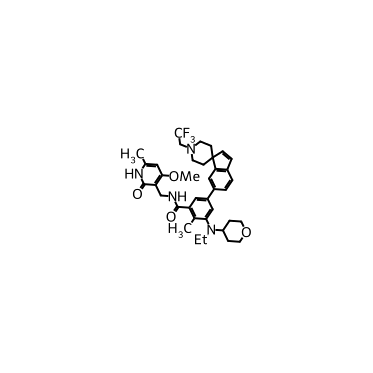 CCN(c1cc(-c2ccc3c(c2)C2(C=C3)CCN(CC(F)(F)F)CC2)cc(C(=O)NCc2c(OC)cc(C)[nH]c2=O)c1C)C1CCOCC1